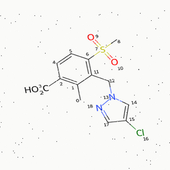 Cc1c(C(=O)O)ccc(S(C)(=O)=O)c1Cn1cc(Cl)cn1